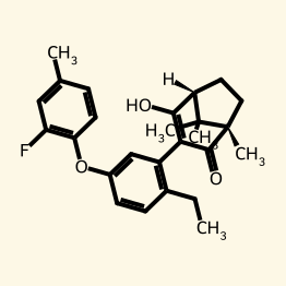 CCc1ccc(Oc2ccc(C)cc2F)cc1C1=C(O)[C@@H]2CC[C@](C)(C1=O)C2(C)C